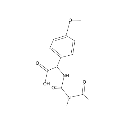 COc1ccc(C(NC(=O)N(C)C(C)=O)C(=O)O)cc1